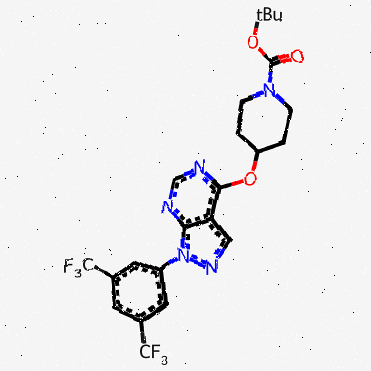 CC(C)(C)OC(=O)N1CCC(Oc2ncnc3c2cnn3-c2cc(C(F)(F)F)cc(C(F)(F)F)c2)CC1